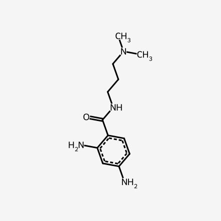 CN(C)CCCNC(=O)c1ccc(N)cc1N